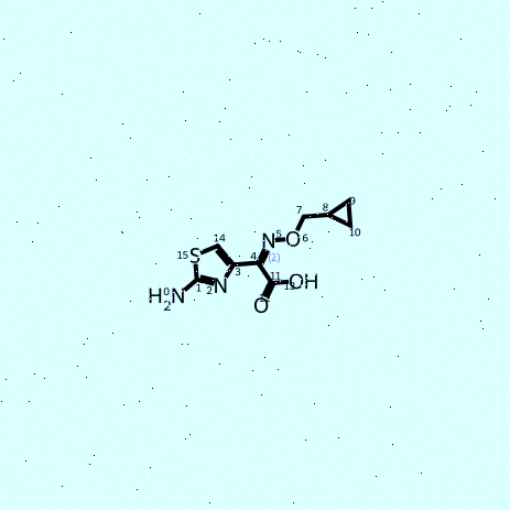 Nc1nc(/C(=N/OCC2CC2)C(=O)O)cs1